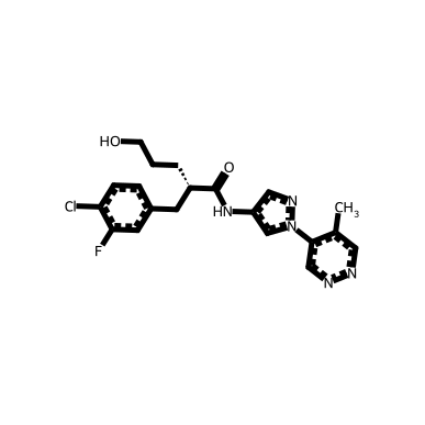 Cc1cnncc1-n1cc(NC(=O)[C@@H](CCCO)Cc2ccc(Cl)c(F)c2)cn1